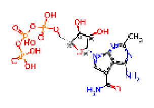 Cc1nc(N)c2c(C(N)=O)cn([C@@H]3O[C@H](COP(=O)(O)OP(=O)(O)OP(=O)(O)O)[C@@H](O)[C@H]3O)c2n1